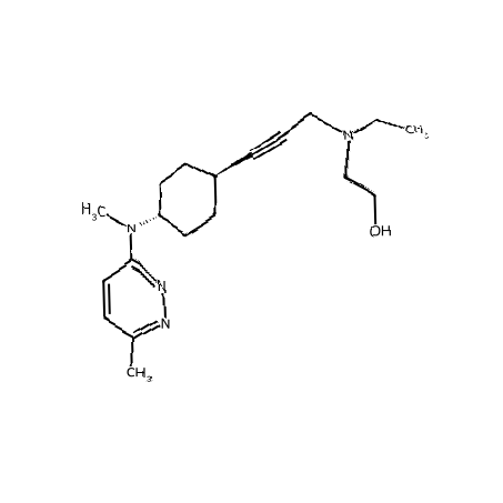 CCN(CC#C[C@H]1CC[C@H](N(C)c2ccc(C)nn2)CC1)CCO